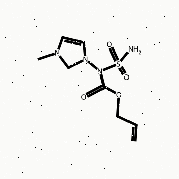 C=CCOC(=O)N(N1C=CN(C)C1)S(N)(=O)=O